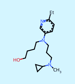 CCc1ccc(N(CCCCO)CCCN(C)C2CC2)cn1